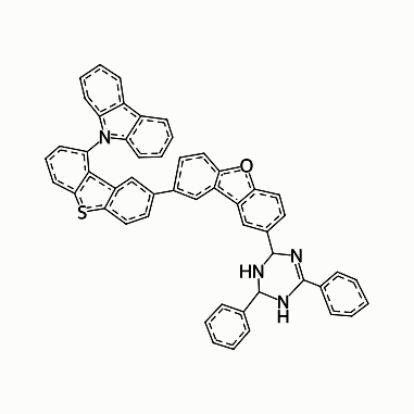 c1ccc(C2=NC(c3ccc4oc5ccc(-c6ccc7sc8cccc(-n9c%10ccccc%10c%10ccccc%109)c8c7c6)cc5c4c3)NC(c3ccccc3)N2)cc1